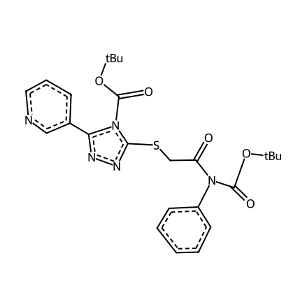 CC(C)(C)OC(=O)N(C(=O)CSc1nnc(-c2cccnc2)n1C(=O)OC(C)(C)C)c1ccccc1